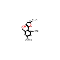 COc1cc(CO)c(-c2ccc(C=O)o2)c(OC)c1